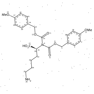 COc1ccc(COC(=O)N(C(=O)OCc2ccc(OC)cc2)[C@@H](CCCCN)C(=O)O)cc1